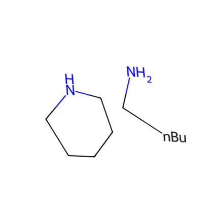 C1CCNCC1.CCCCCN